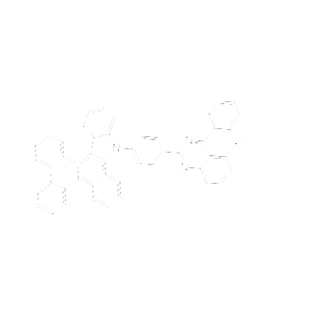 CC1(C)c2ccccc2-c2nc(-c3ccc(-n4c5ccccc5c5c6c7ccccc7c7ccccc7c6c6ccccc6c54)cc3)nc3cccc1c23